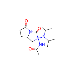 CC(=O)N[N+]1(N(C(C)C)C(C)C)CC2CCC(=O)N2C1=O